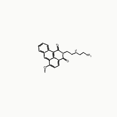 COc1ccc2c3c(c4ccccc4cc13)C(=O)N(CCNCCN)C2=O